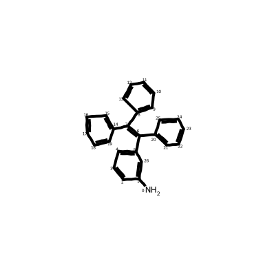 Nc1cccc(C(=C(c2ccccc2)c2ccccc2)c2ccccc2)c1